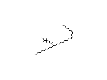 CCCCC/C=C\C/C=C\CCCCCCCCC(CCCCCCCCCC)O/C=C/C(C)(C)C(C)CC